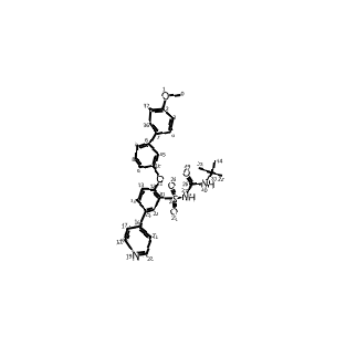 COc1ccc(-c2cccc(Oc3ccc(-c4ccncc4)cc3S(=O)(=O)NC(=O)NC(C)(C)C)c2)cc1